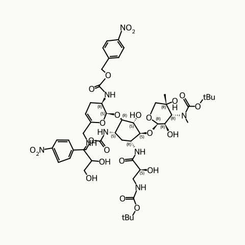 CN(C(=O)OC(C)(C)C)[C@@H]1[C@@H](O)[C@@H](O[C@@H]2[C@@H](O)[C@H](O[C@H]3OC(CNCC(O)CO)=CC[C@H]3NC(=O)OCc3ccc([N+](=O)[O-])cc3)[C@@H](NC(=O)OCc3ccc([N+](=O)[O-])cc3)C[C@H]2NC(=O)[C@@H](O)CNC(=O)OC(C)(C)C)OC[C@]1(C)O